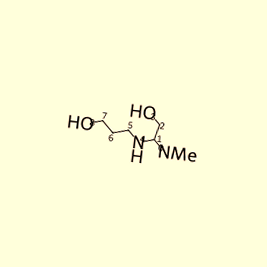 CNC(CO)NCCCO